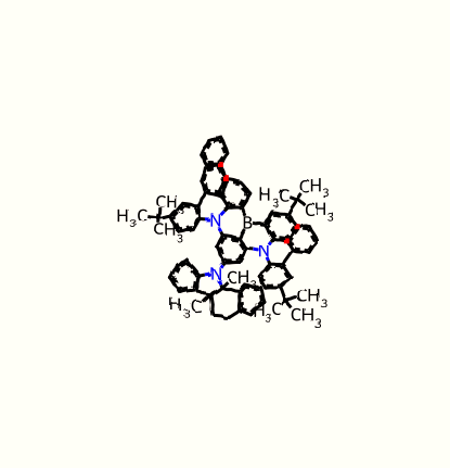 CC(C)(C)c1ccc2c(c1)B1c3ccc(-c4ccccc4)cc3N(c3ccc(C(C)(C)C)cc3-c3ccccc3)c3cc(N4c5ccccc5C5(C)CCc6ccccc6C45C)cc(c31)N2c1ccc(C(C)(C)C)cc1-c1ccccc1